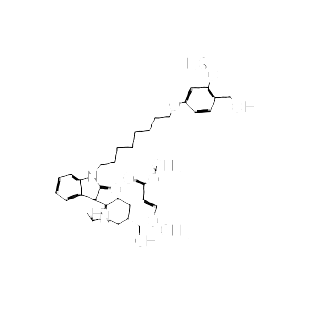 CC[C@H]1CN2CC[C@]3(C(=O)N(CCCCCCCCOc4ccc(CO)c(OC)c4)c4ccccc43)[C@@H]2C[C@@H]1/C(=C\OC)C(=O)OC